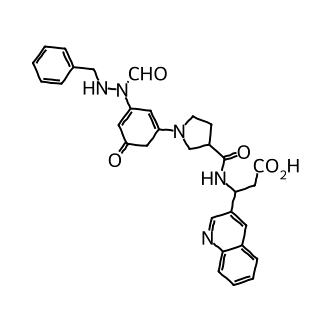 O=CN(NCc1ccccc1)C1=CC(=O)CC(N2CCC(C(=O)NC(CC(=O)O)c3cnc4ccccc4c3)C2)=C1